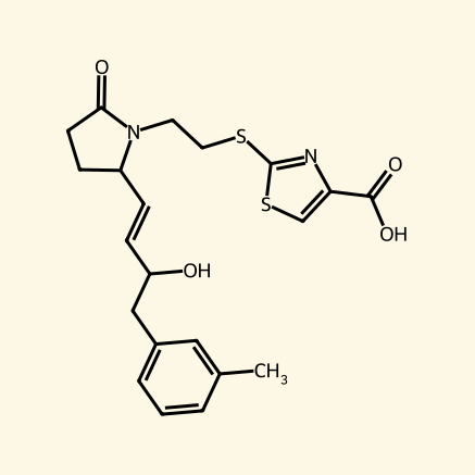 Cc1cccc(CC(O)C=CC2CCC(=O)N2CCSc2nc(C(=O)O)cs2)c1